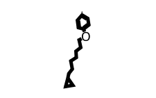 [c]1ccc(OCCCCCCCC2CC2)cc1